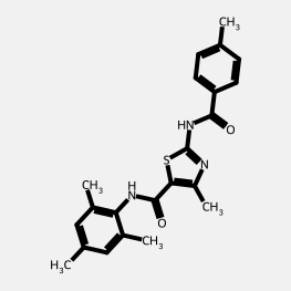 Cc1ccc(C(=O)Nc2nc(C)c(C(=O)Nc3c(C)cc(C)cc3C)s2)cc1